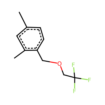 Cc1ccc(COCC(F)(F)F)c(C)c1